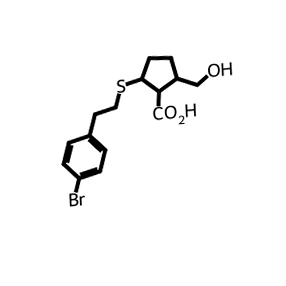 O=C(O)C1C(CO)CCC1SCCc1ccc(Br)cc1